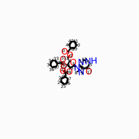 O=C(OC[C@H]1O[C@@H](n2cnc3c2N=CNCC3=O)[C@H](OC(=O)c2ccccc2)[C@@H]1OC(=O)c1ccccc1)c1ccccc1